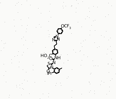 Cc1ccc(C(C)C)c(N2C(=O)CSC2=NC(=O)Nc2ccc(CCc3ncn(-c4ccc(OC(F)(F)F)cc4)n3)cc2C(=O)O)c1